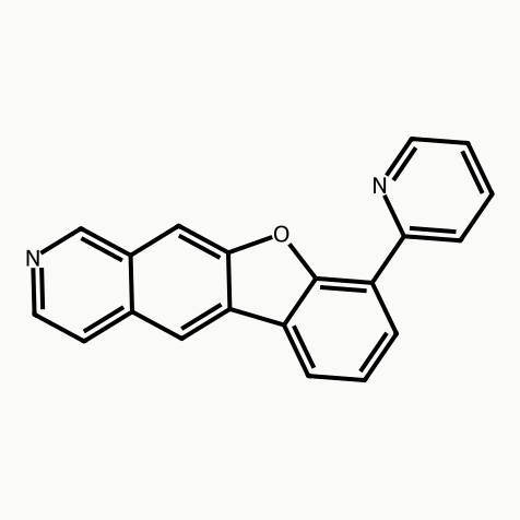 c1ccc(-c2cccc3c2oc2cc4cnccc4cc23)nc1